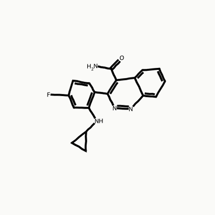 NC(=O)c1c(-c2ccc(F)cc2NC2CC2)nnc2ccccc12